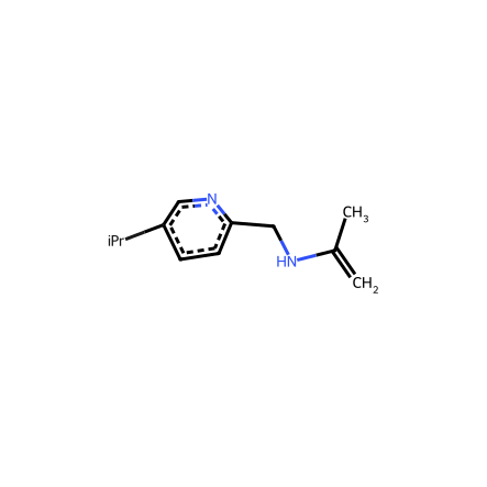 C=C(C)NCc1ccc(C(C)C)cn1